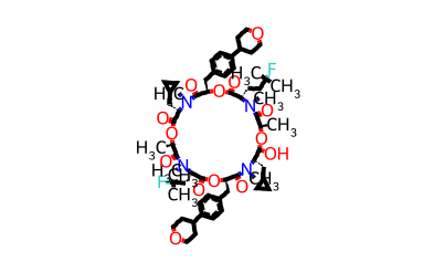 C[C@H]1OC(=O)[C@H](CC2CC2)N(C)C(=O)[C@@H](Cc2ccc(C3CCOCC3)cc2)OC(=O)[C@H](CCC(C)(C)F)N(C)C(=O)[C@@H](C)OC(O)[C@H](CC2CC2)N(C)C(=O)[C@@H](Cc2ccc(C3CCOCC3)cc2)OC(=O)[C@H](CC(C)(C)F)N(C)C1=O